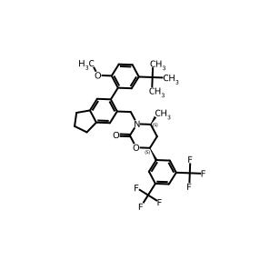 COc1ccc(C(C)(C)C)cc1-c1cc2c(cc1CN1C(=O)O[C@H](c3cc(C(F)(F)F)cc(C(F)(F)F)c3)C[C@@H]1C)CCC2